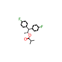 CC(C)C(=O)O[C@@H](C)C(c1ccc(F)cc1)c1ccc(F)cc1